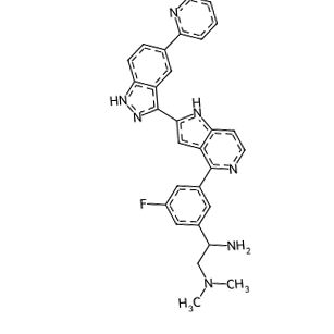 CN(C)CC(N)c1cc(F)cc(-c2nccc3[nH]c(-c4n[nH]c5ccc(-c6ccccn6)cc45)cc23)c1